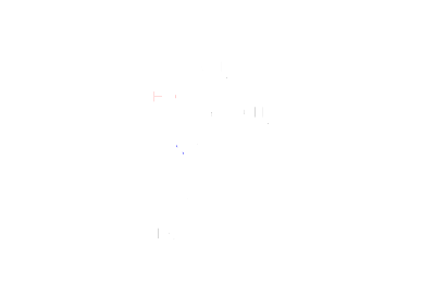 C=C(O)C(=C)c1ccc(C)cn1